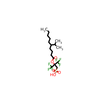 CCCCCC(CCCC(=O)OC(CS(=O)(=O)O)(C(F)(F)F)C(F)(F)F)C(C)C